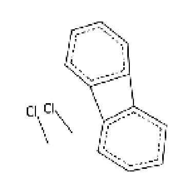 CCl.CCl.c1ccc2c(c1)-c1ccccc1-2